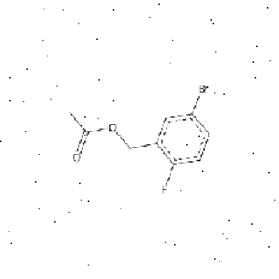 CC(=O)OCc1cc(Br)ccc1F